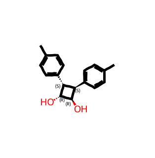 Cc1ccc([C@H]2[C@@H](O)[C@H](O)[C@@H]2c2ccc(C)cc2)cc1